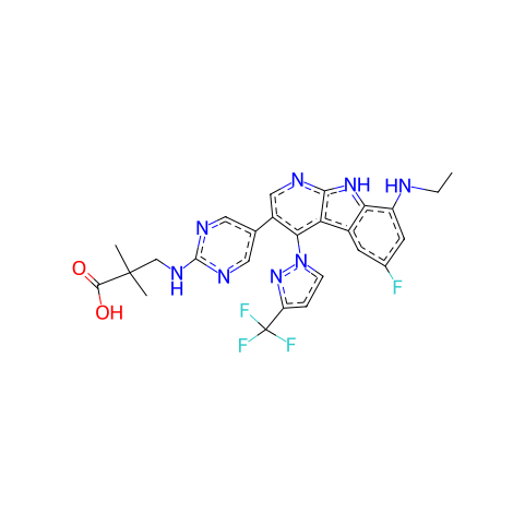 CCNc1cc(F)cc2c1[nH]c1ncc(-c3cnc(NCC(C)(C)C(=O)O)nc3)c(-n3ccc(C(F)(F)F)n3)c12